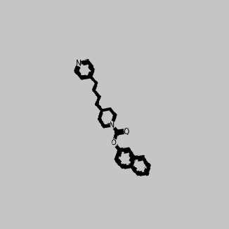 O=C(Oc1ccc2ccccc2c1)N1CCC(CCCCc2ccncc2)CC1